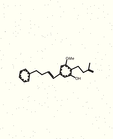 C=C(C)CCc1c(O)cc(C=CCCc2ccccc2)cc1OC